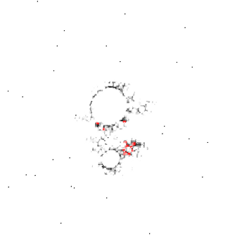 CC[C@H]1OC(=O)[C@H](C)[C@@H](O[C@H]2C[C@@](C)(O)[C@@H](O)[C@H](C)O2)[C@H](C)[C@@H](O[C@@H]2O[C@H](C)C[C@H](N(C)C)[C@H]2O)[C@](C)(O[C@H]2C[C@@H](N(C)C)[C@@H](O)[C@H](C)O2)C[C@@H](C)C(=O)[C@H](C)[C@@H](O)[C@]1(C)O.CO[C@H]1C[C@@H]2CC[C@@H](C)[C@@](O)(O2)C(=O)C(=O)N2CCCC[C@H]2C(=O)O[C@H]([C@H](C)C[C@@H]2CC[C@@H](O)[C@H](OC)C2)CC(=O)[C@H](C)/C=C(\C)[C@@H](O)[C@@H](OC)C(=O)[C@H](C)C[C@H](C)/C=C/C=C/C=C/1C